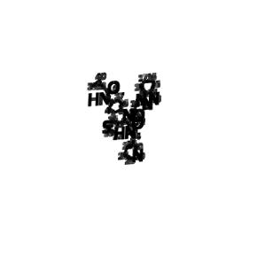 O=C(Nc1ccc(N(C(=O)Cn2nnc3ccccc32)C(C(=O)NCc2cccnc2)c2ccsc2)cc1)C1CC1